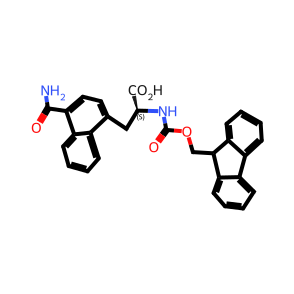 NC(=O)c1ccc(C[C@H](NC(=O)OCC2c3ccccc3-c3ccccc32)C(=O)O)c2ccccc12